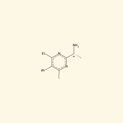 CCc1nc([C@@H](C)N)nc(C)c1C(C)C